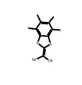 Cc1c(C)c(I)c2c(c1I)SC(=C(C#N)C#N)S2